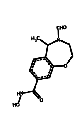 CC1c2ccc(C(=O)NO)cc2OCCN1C=O